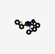 c1ccc2c(c1)-c1cccc(-c3ccc(-c4cccc5c4sc4ccccc45)cc3)c1C21c2ccccc2-n2c3ccccc3c3cccc1c32